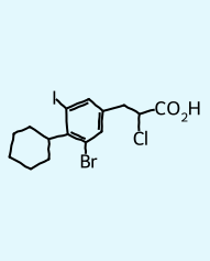 O=C(O)C(Cl)Cc1cc(Br)c(C2CCCCC2)c(I)c1